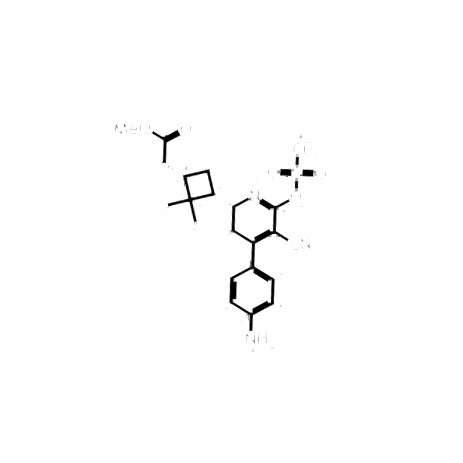 COC(=O)C[C@@H]1C[C@H](C2CC(c3ccc(N)cc3)=C(C#N)C(OS(=O)(=O)C(F)(F)F)=N2)C1(C)C